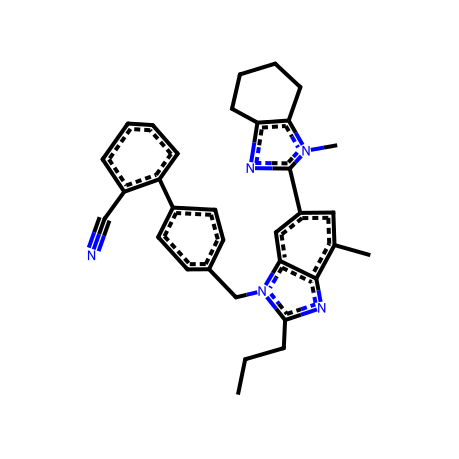 CCCc1nc2c(C)cc(-c3nc4c(n3C)CCCC4)cc2n1Cc1ccc(-c2ccccc2C#N)cc1